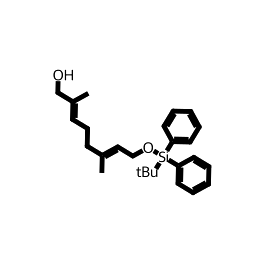 C/C(=C\CC/C(C)=C/CO[Si](c1ccccc1)(c1ccccc1)C(C)(C)C)CO